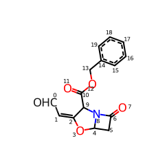 O=C/C=C1/OC2CC(=O)N2C1C(=O)OCc1ccccc1